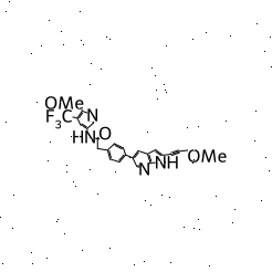 COCC#Cc1cc2cc(-c3ccc(CC(=O)Nc4cnc(OC)c(C(F)(F)F)c4)cc3)cnc2[nH]1